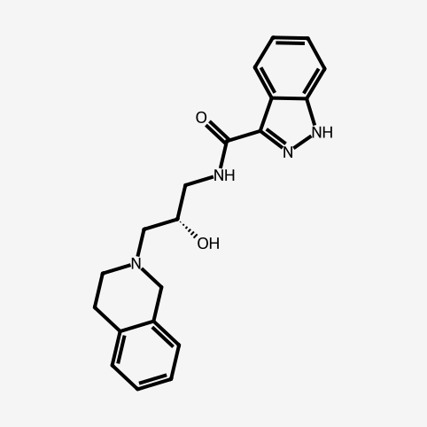 O=C(NC[C@H](O)CN1CCc2ccccc2C1)c1n[nH]c2ccccc12